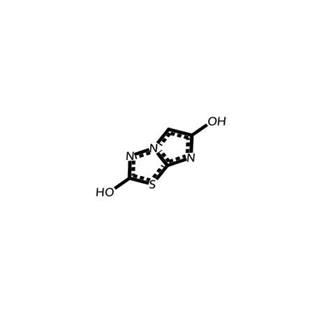 Oc1cn2nc(O)sc2n1